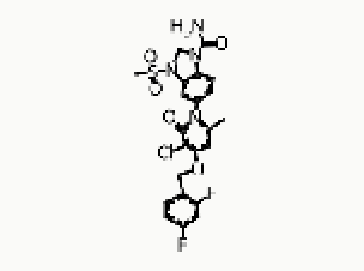 Cc1cc(OCc2ccc(F)cc2F)c(Cl)c(=O)n1-c1ccc2c(c1)N(S(C)(=O)=O)CN2C(N)=O